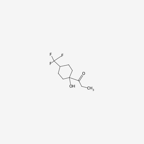 CCC(=O)C1(O)CCC(C(F)(F)F)CC1